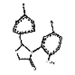 Cc1ccc(Br)cc1N1C(=O)CSC1c1ccc(F)cc1